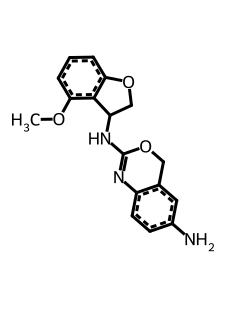 COc1cccc2c1C(NC1=Nc3ccc(N)cc3CO1)CO2